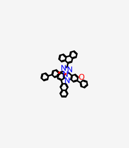 c1ccc(-c2ccc(-c3nc(-c4cc5oc6ccccc6c5cc4-n4c5ccccc5c5cc6ccccc6cc54)nc(-c4cc5ccccc5c5ccccc45)n3)cc2)cc1